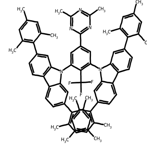 Cc1cc(C)c(-c2ccc3c4ccc(-c5c(C)cc(C)cc5C)cc4n(-c4cc(-c5nc(C)nc(C)n5)cc(-n5c6cc(-c7c(C)cc(C)cc7C)ccc6c6ccc(-c7c(C)cc(C)cc7C)cc65)c4C(F)(F)F)c3c2)c(C)c1